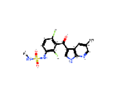 CCNS(=O)(=O)Nc1ccc(F)c(C(=O)c2c[nH]c3ncc(C#N)cc23)c1F